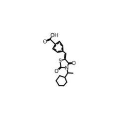 CC(C1CCCCC1)N1C(=O)S/C(=C\c2ccc(C(=O)O)cc2)C1=O